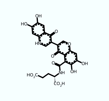 O=C(O)CC[C@H](NC(=O)c1c(O)c(O)cc2occ(-c3c[nH]c4cc(O)c(O)cc4c3=O)c(=O)c12)C(=O)O